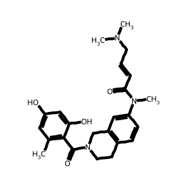 Cc1cc(O)cc(O)c1C(=O)N1CCc2ccc(N(C)C(=O)/C=C/CN(C)C)cc2C1